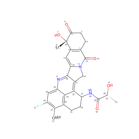 CC[C@@]1(O)C(=O)CCc2c1cc1n(c2=O)Cc2c-1nc1cc(F)c(OC)c3c1c2C(NC(=O)[C@@H](C)O)CC3